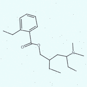 CCc1ccccc1C(=O)OCC(CC)CC(CC)N(C)C